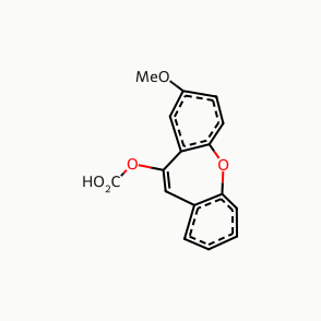 COc1ccc2c(c1)C(OC(=O)O)=Cc1ccccc1O2